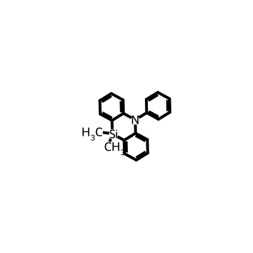 C[Si]1(C)c2ccccc2N(c2ccccc2)c2ccccc21